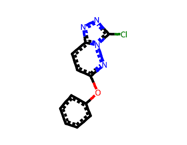 Clc1nnc2ccc(Oc3ccccc3)nn12